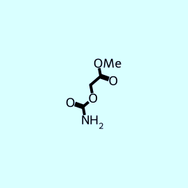 COC(=O)COC(N)=O